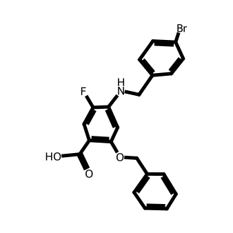 O=C(O)c1cc(F)c(NCc2ccc(Br)cc2)cc1OCc1ccccc1